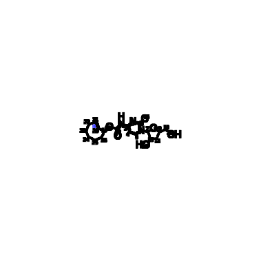 O=C(Nc1ccn(C2OC(CO)CC2O)c(=O)n1)OC1/C=C/CCCCC1